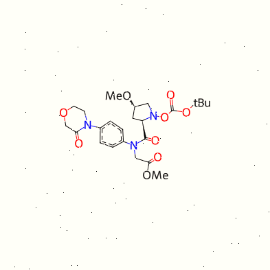 COC(=O)CN(C(=O)[C@H]1C[C@@H](OC)CN1OC(=O)OC(C)(C)C)c1ccc(N2CCOCC2=O)cc1